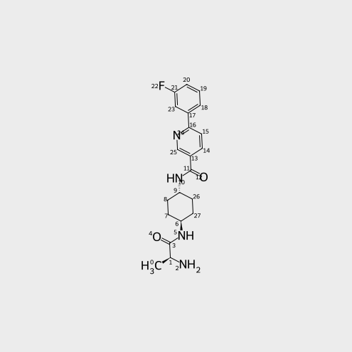 C[C@H](N)C(=O)N[C@H]1CC[C@H](NC(=O)c2ccc(-c3cccc(F)c3)nc2)CC1